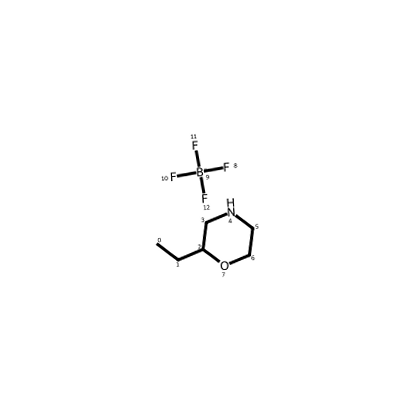 CCC1CNCCO1.F[B-](F)(F)F